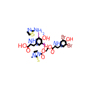 CCOC(=O)n1ccn(C)c1=S.NC(Cc1cc(I)c(O)c(I)c1)C(=O)O.N[C@@H](Cc1cc(Br)c(O)c(Br)c1)C(=O)O.Nc1nccs1